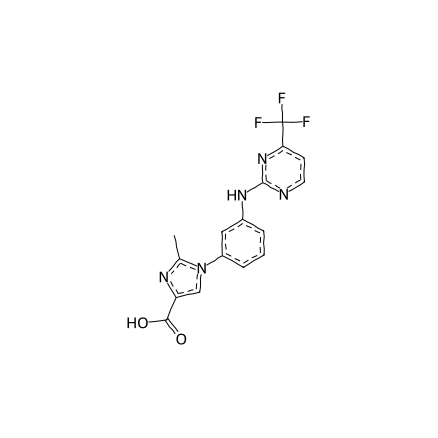 Cc1nc(C(=O)O)cn1-c1cccc(Nc2nccc(C(F)(F)F)n2)c1